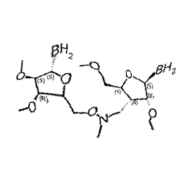 B[C@@H]1O[C@H](COC)[C@@H](CN(C)OCC2O[C@@H](B)[C@H](OC)[C@@H]2OC)[C@H]1OC